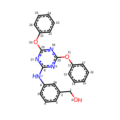 OCc1cccc(Nc2nc(Oc3ccccc3)nc(Oc3ccccc3)n2)c1